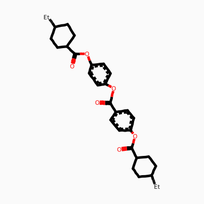 CCC1CCC(C(=O)Oc2ccc(OC(=O)c3ccc(OC(=O)C4CCC(CC)CC4)cc3)cc2)CC1